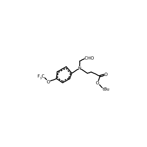 CC(C)(C)OC(=O)CCN(CC=O)c1ccc(OC(F)(F)F)cc1